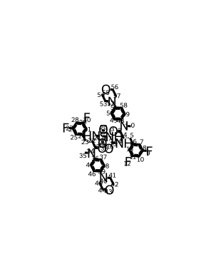 CN(C(=O)[C@H](Cc1cc(F)cc(F)c1)NC(=O)NS(=O)(=O)N[C@@H](Cc1cc(F)cc(F)c1)C(=O)N(C)c1ccc(N2CCOCC2)cc1)c1ccc(N2CCOCC2)cc1